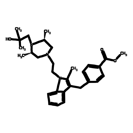 COC(=O)c1ccc(Cc2c(C)n(CCN3C[C@@H](C)N(CC(C)(C)O)[C@@H](C)C3)c3ccccc23)cc1